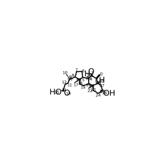 C=C1C(=O)[C@H]2C3CCC([C@H](C)CCC(=O)O)[C@@]3(C)CCC2[C@@]2(C)CC[C@@H](O)C[C@@H]12